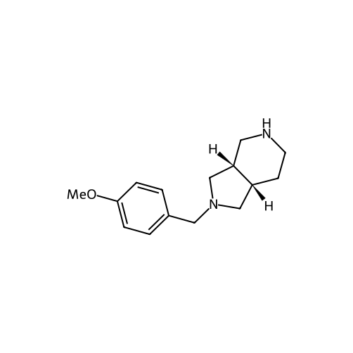 COc1ccc(CN2C[C@H]3CCNC[C@H]3C2)cc1